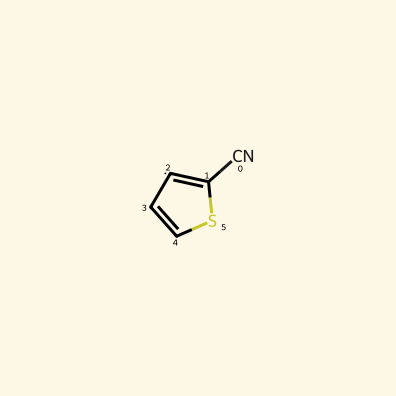 N#Cc1[c]ccs1